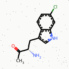 CC(=O)[C@@H](N)Cc1c[nH]c2cc(Cl)ccc12